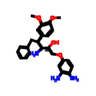 COc1ccc(C(Cc2ccccc2)C(N)[C@@H](O)COc2ccc(N)c(N)c2)cc1OC